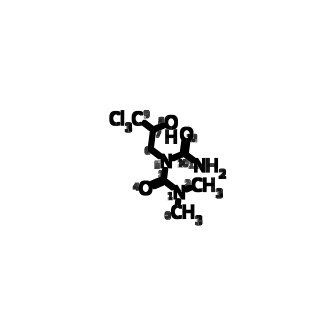 CN(C)C(=O)N(CC(O)C(Cl)(Cl)Cl)C(N)=O